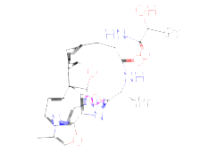 Cc1coc(-c2nc3oc2C24c5ccccc5NC2Oc2ccc(cc24)C[C@H](NC(=O)C(O)C(C)C)C(=O)N[C@H]3C(C)C)n1